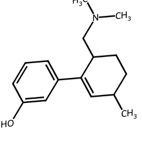 CC1C=C(c2cccc(O)c2)C(CN(C)C)CC1